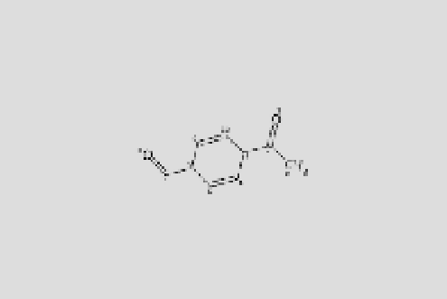 CC(=O)C1C=CC(C=O)C=C1